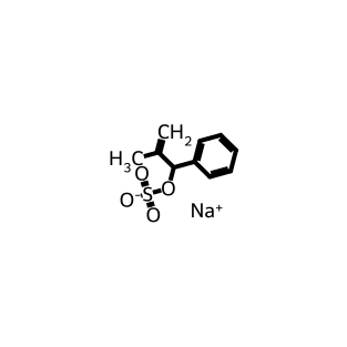 C=C(C)C(OS(=O)(=O)[O-])c1ccccc1.[Na+]